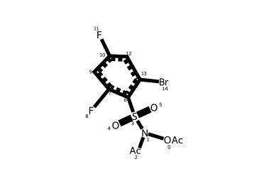 CC(=O)ON(C(C)=O)S(=O)(=O)c1c(F)cc(F)cc1Br